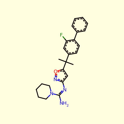 CC(C)(c1ccc(-c2ccccc2)c(F)c1)c1cc(/N=C(/N)N2CCCCC2)no1